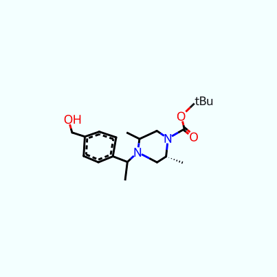 CC1CN(C(=O)OC(C)(C)C)[C@H](C)CN1C(C)c1ccc(CO)cc1